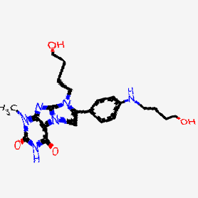 Cn1c(=O)[nH]c(=O)c2c1nc1n(CCCCO)c(-c3ccc(NCCCCO)cc3)cn21